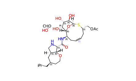 CC(=O)OC[C@@H]1C/C=C\C[C@@H](NC(=O)[C@H]2NC[C@@H]3C[C@H](CC(C)C)CCO[C@H]32)[C@H]2O[C@H](S1)[C@H](O)[C@@H](O)[C@H]2O.O=CO